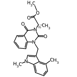 COC(=O)[C@H](C)n1c(=O)c2ccccc2n(Cc2cn(C)c3cccc(C)c23)c1=O